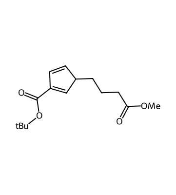 COC(=O)CCCC1C=CC(C(=O)OC(C)(C)C)=C1